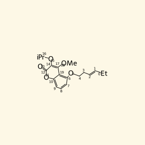 CC/C=C/CCOc1cccc2oc(=O)c(OC(C)C)c(OC)c12